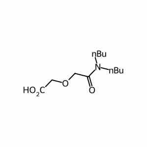 CCCCN(CCCC)C(=O)COCC(=O)O